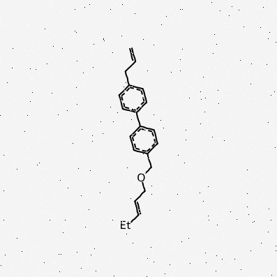 C=CCc1ccc(-c2ccc(COCC=CCC)cc2)cc1